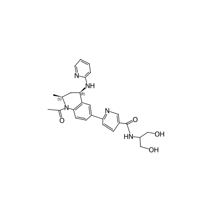 CC(=O)N1c2ccc(-c3ccc(C(=O)NC(CO)CO)cn3)cc2[C@H](Nc2ccccn2)C[C@@H]1C